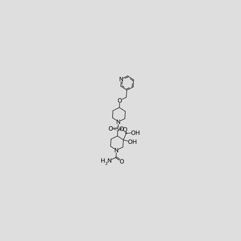 NC(=O)N1CCC(S(=O)(=O)N2CCC(OCc3cccnc3)CC2)C(O)(C(=O)O)C1